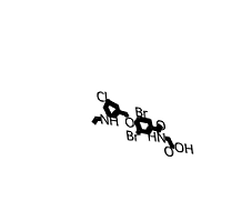 CCNc1cc(Cl)cc(COc2c(Br)cc(C(=O)NCC(=O)O)cc2Br)c1